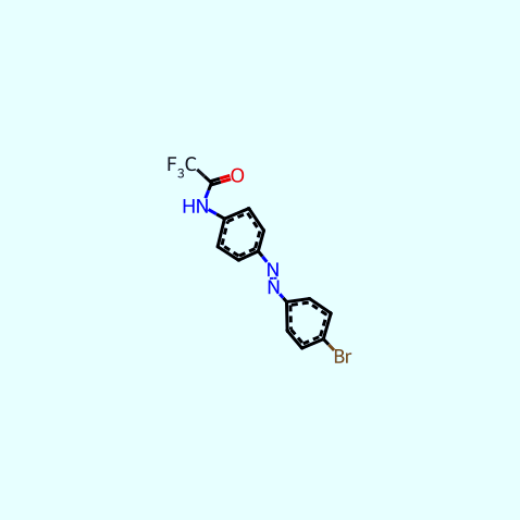 O=C(Nc1ccc(N=Nc2ccc(Br)cc2)cc1)C(F)(F)F